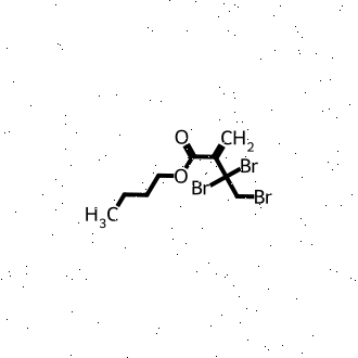 C=C(C(=O)OCCCC)C(Br)(Br)CBr